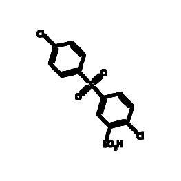 O=S(=O)(O)c1cc(S(=O)(=O)c2ccc(Cl)cc2)ccc1Cl